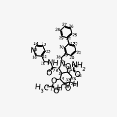 CC(=O)O[C@H]1C2[C@@H](C(=O)NCc3cccnc3)N(Cc3cccc(-c4ccccc4)c3)O[C@@]2(C(N)=O)C[C@@H]2O[C@@H]21